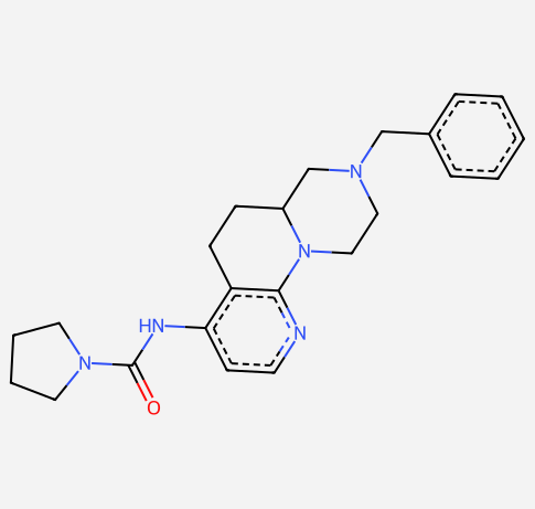 O=C(Nc1ccnc2c1CCC1CN(Cc3ccccc3)CCN21)N1CCCC1